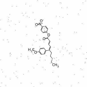 CCCCC/C(=C/C=C/C(=O)Oc1ccc([N+](=O)[O-])cc1)c1ccc(OC)cc1